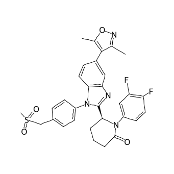 Cc1noc(C)c1-c1ccc2c(c1)nc([C@@H]1CCCC(=O)N1c1ccc(F)c(F)c1)n2-c1ccc(CS(C)(=O)=O)cc1